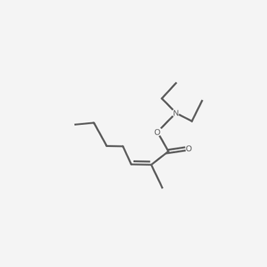 CCCCC=C(C)C(=O)ON(CC)CC